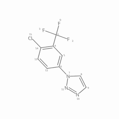 FC(F)(F)c1cc(-n2ccnn2)ccc1Cl